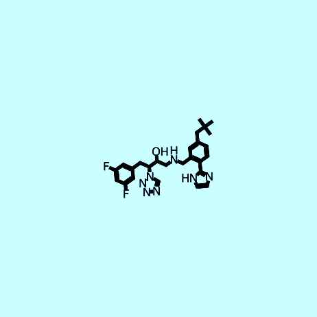 CC(C)(C)Cc1ccc(-c2ncc[nH]2)c(CNCC(O)C(Cc2cc(F)cc(F)c2)n2cnnn2)c1